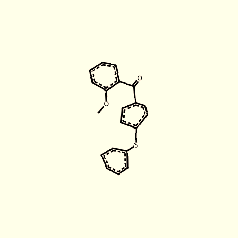 COc1ccccc1C(=O)c1ccc(Sc2ccccc2)cc1